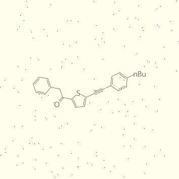 CCCCc1ccc(C#Cc2ccc(C(=O)Cc3ccccc3)s2)cc1